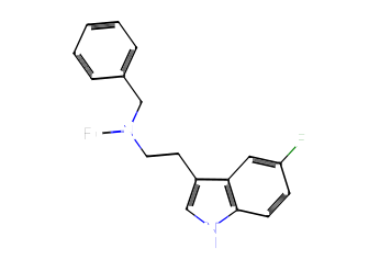 CCN(CCc1c[nH]c2ccc(F)cc12)Cc1ccccc1